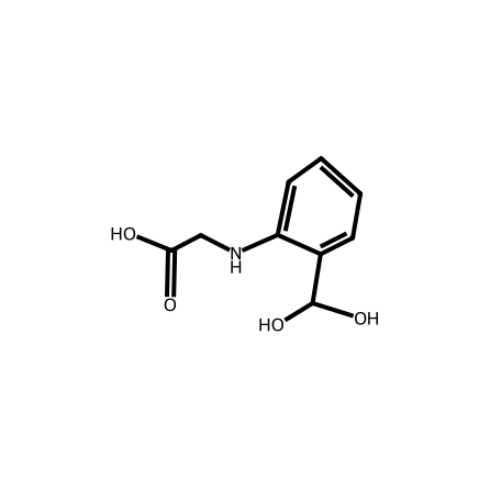 O=C(O)CNc1ccccc1C(O)O